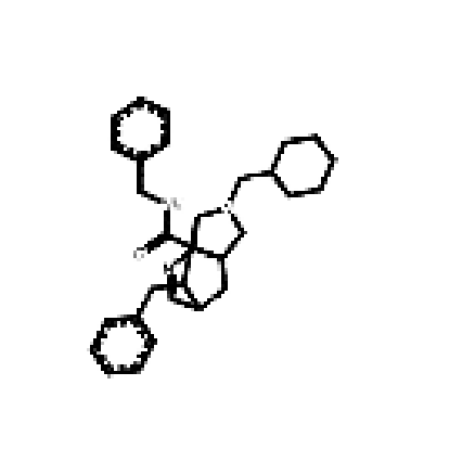 O=C(NCc1ccccc1)C12N=CC3CC1CN(CC1CCCCC1)C2C3Cc1ccccc1